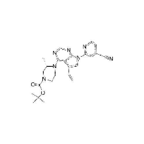 C=Cc1cn(-c2cc(C#N)ccn2)c2ncnc(N3CCN(C(=O)OC(C)(C)C)C[C@@H]3C)c12